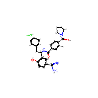 Cc1cc(C(=O)NC(Cc2ccccc2)c2cc(C(=N)N)ccc2O)ccc1C(=O)N1CCCC1.Cl